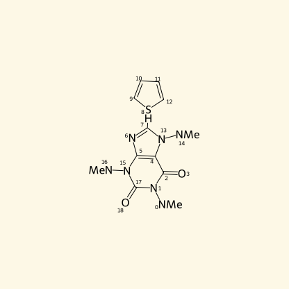 CNn1c(=O)c2c(nc([SH]3C=CC=C3)n2NC)n(NC)c1=O